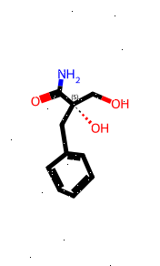 NC(=O)[C@@](O)(CO)Cc1ccccc1